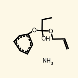 C=CCOC(O)(CC)Oc1ccccc1.N